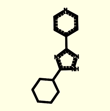 c1cc(-c2n[nH]c(C3CCCCC3)n2)ccn1